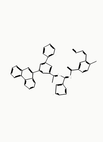 C=C/C=C\c1cc(C(=C)/N=C(\N=C(/C)c2cc(-c3ccccc3)cc(-c3cc4ccccc4c4ccccc34)c2)c2ccccc2)ccc1C